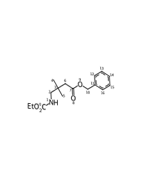 CCOC(=O)NCC(C)(C)CC(=O)OCc1ccccc1